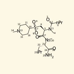 CCCC(=O)N(C)[C@H](CS(=O)(=O)C1CCN(C)CC1)C(=O)N(C)[C@@H](CC(C)C)C(N)=O